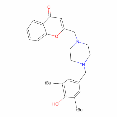 CC(C)(C)c1cc(CN2CCN(Cc3cc(=O)c4ccccc4o3)CC2)cc(C(C)(C)C)c1O